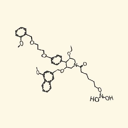 CCOC1CN(C(=O)CCCCCON(O)O)CC(OCc2cc(OC)c3ccccc3c2)C1c1ccc(OCCCOCc2ccccc2OC)cc1